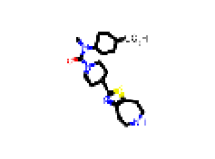 CN(C(=O)N1CCC(c2nc3c(s2)CCNCC3)CC1)C1CCC(C(=O)O)CC1